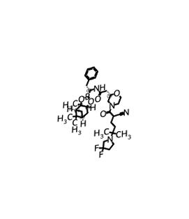 CC1(C)[C@@H]2C[C@H]3OB([C@H](Cc4ccccc4)NC(=O)C[C@H]4CN(C(=O)C(C#N)CCC(C)(C)N5CCC(F)(F)C5)CCO4)O[C@@]3(C)[C@H]1C2